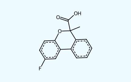 CC1(C(=O)O)Oc2ccc(F)cc2-c2ccccc21